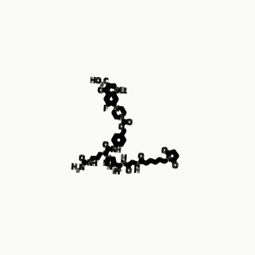 CCn1cc(C(=O)O)c(=O)c2cc(F)c(N3CCN(C(=O)OCc4ccc(NC(=O)[C@H](CCCNC(N)=O)n5cc([C@@H](NC(=O)CNC(=O)CCCCCN6C(=O)CCC6=O)C(C)C)nn5)cc4)CC3)cc21